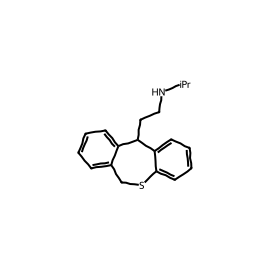 CC(C)NCCC1c2ccccc2CSc2ccccc21